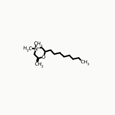 C=C1C[N+](C)(C)CC(CCCCCCCC)O1